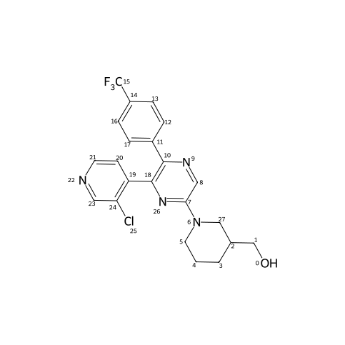 OCC1CCCN(c2cnc(-c3ccc(C(F)(F)F)cc3)c(-c3ccncc3Cl)n2)C1